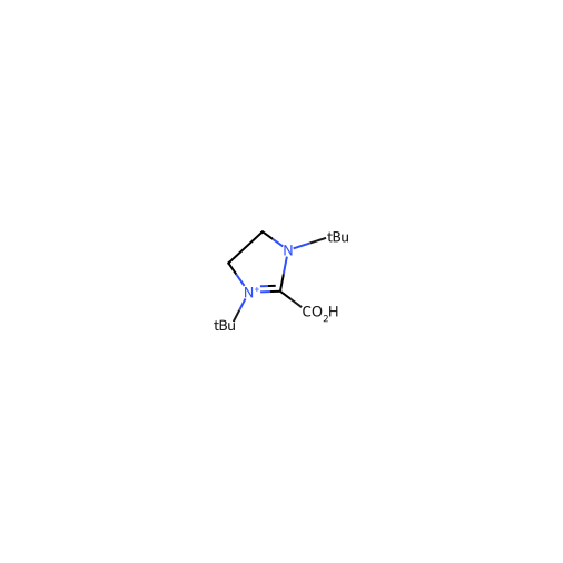 CC(C)(C)N1CC[N+](C(C)(C)C)=C1C(=O)O